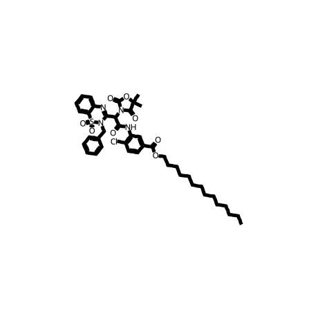 CCCCCCCCCCCCCCOC(=O)c1ccc(Cl)c(NC(=O)C(C2=Nc3ccccc3S(=O)(=O)N2Cc2ccccc2)N2C(=O)OC(C)(C)C2=O)c1